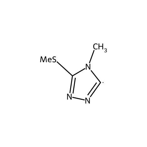 CSc1nn[c]n1C